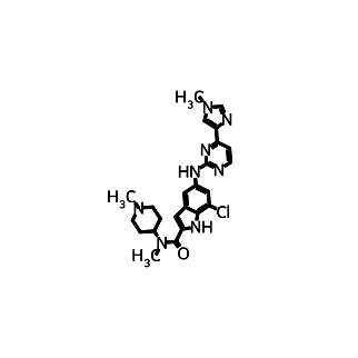 CN1CCC(N(C)C(=O)c2cc3cc(Nc4nccc(-c5cn(C)cn5)n4)cc(Cl)c3[nH]2)CC1